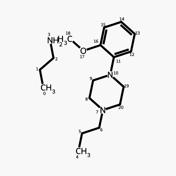 CCCN.CCCN1CCN(c2ccccc2OC)CC1